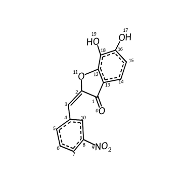 O=C1/C(=C\c2cccc([N+](=O)[O-])c2)Oc2c1ccc(O)c2O